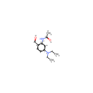 CCN(CC)c1ccc(C=O)c(NC(C)=O)c1